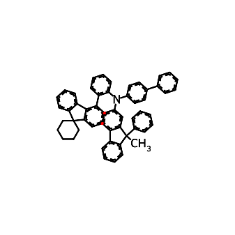 CC1(c2ccccc2)c2ccccc2-c2ccc(N(c3ccc(-c4ccccc4)cc3)c3ccccc3-c3cccc4c3-c3ccccc3C43CCCCC3)cc21